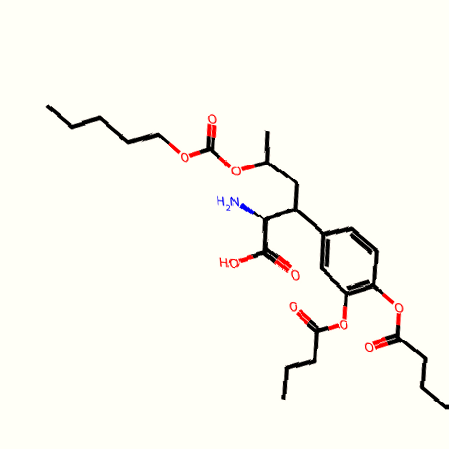 CCCCCOC(=O)OC(C)CC(c1ccc(OC(=O)CCC)c(OC(=O)CCC)c1)[C@H](N)C(=O)O